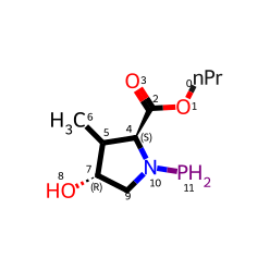 CCCOC(=O)[C@@H]1C(C)[C@@H](O)CN1P